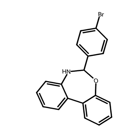 Brc1ccc(C2Nc3ccccc3-c3ccccc3O2)cc1